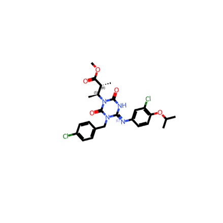 COC(=O)[C@H](C)[C@H](C)n1c(=O)[nH]/c(=N\c2ccc(OC(C)C)c(Cl)c2)n(Cc2ccc(Cl)cc2)c1=O